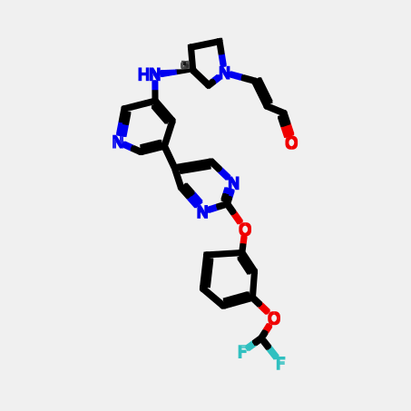 O=CC=CN1CC[C@H](Nc2cncc(-c3cnc(Oc4cccc(OC(F)F)c4)nc3)c2)C1